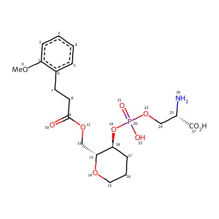 COc1ccccc1CCC(=O)OC[C@H]1OCCC[C@@H]1OP(=O)(O)OC[C@H](N)C(=O)O